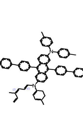 C=C/C(C)=C\C=C\N(C1=CC=C(C)CC1)c1ccc2c(-c3ccc(-c4ccccc4)cc3)c3cc(N(c4ccc(C)cc4)c4ccc(C)cc4)ccc3c(-c3ccc(-c4ccccc4)cc3)c2c1